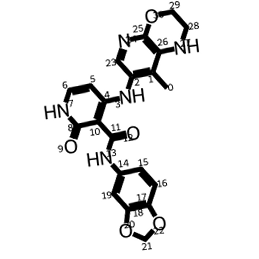 Cc1c(Nc2cc[nH]c(=O)c2C(=O)Nc2ccc3c(c2)OCO3)cnc2c1NCCO2